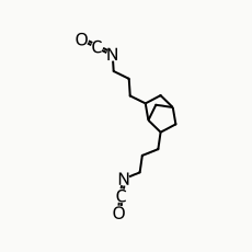 O=C=NCCCC1CC2CC(CCCN=C=O)C1C2